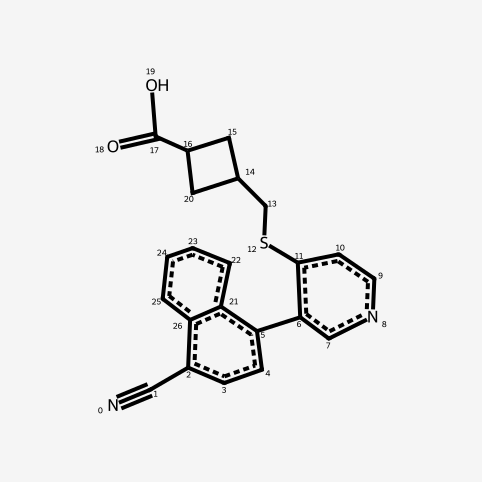 N#Cc1ccc(-c2cnccc2SCC2CC(C(=O)O)C2)c2ccccc12